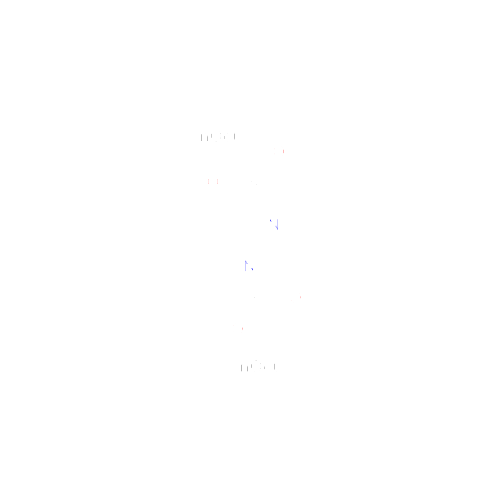 CCCCCCCCOC(=O)N=NC(=O)OCCCCCCCC